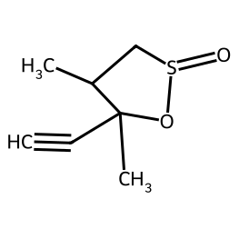 C#CC1(C)OS(=O)CC1C